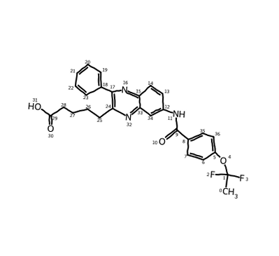 CC(F)(F)Oc1ccc(C(=O)Nc2ccc3nc(-c4ccccc4)c(CCCCC(=O)O)nc3c2)cc1